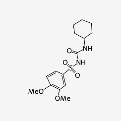 COc1ccc(S(=O)(=O)NC(=O)NC2CCCCC2)cc1OC